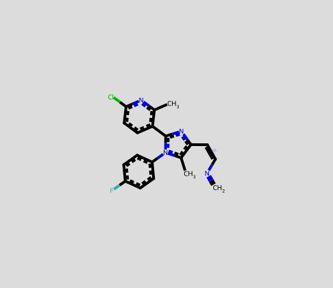 C=N/C=C\c1nc(-c2ccc(Cl)nc2C)n(-c2ccc(F)cc2)c1C